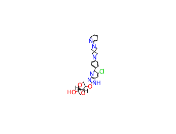 OC1CO[C@@H]2C(Oc3nc4nc(-c5ccc(N6CC7(C6)CN(c6ccccn6)C7)cc5)c(Cl)cc4[nH]3)CO[C@H]12